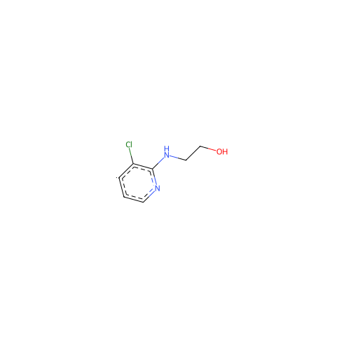 OCCNc1ncc[c]c1Cl